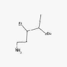 CCCCC(C)C(CC)CCN